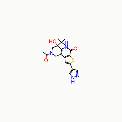 CC(=O)N1Cc2c([nH]c(=O)c3sc(-c4cn[nH]c4)cc23)C(O)(C(C)(C)C)C1